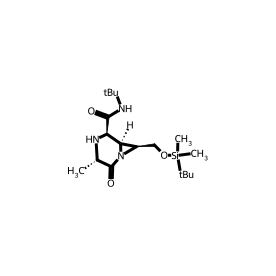 C[C@@H]1N[C@@H](C(=O)NC(C)(C)C)[C@H]2[C@@H](CO[Si](C)(C)C(C)(C)C)N2C1=O